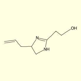 C=CCC1CNC(CCO)=N1